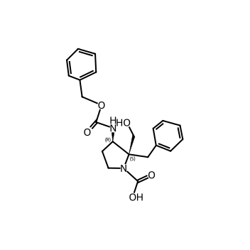 O=C(N[C@@H]1CCN(C(=O)O)[C@@]1(CO)Cc1ccccc1)OCc1ccccc1